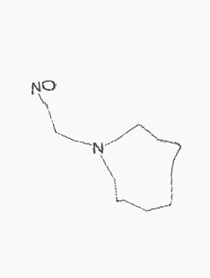 O=NCN1CCCC1